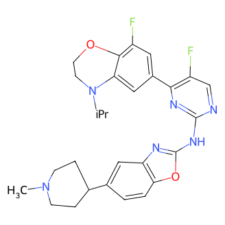 CC(C)N1CCOc2c(F)cc(-c3nc(Nc4nc5cc(C6CCN(C)CC6)ccc5o4)ncc3F)cc21